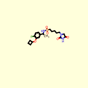 CC(NS(=O)(=O)CCCCCN1CC(=O)NC1=O)c1ccc(F)c(OC2CCC2)c1